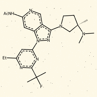 CCc1cc(-n2nc(N3CC[C@@](C)(N(C)C)C3)c3cnc(NC(C)=O)cc32)nc(C(C)(C)F)n1